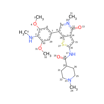 CNc1c(OC)cc(-c2cn(C)c(=O)c3cc(NC(=O)C4CCN(C)CC4)sc23)cc1OC